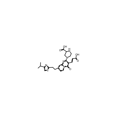 CC(C)c1csc(CCc2ccn3c(=O)c(/C=C/C(=O)O)c(N4CCNC(C(=O)O)C4)nc3c2)n1